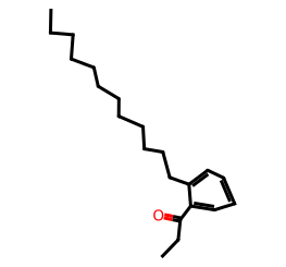 CCCCCCCCCCCCc1ccccc1C(=O)CC